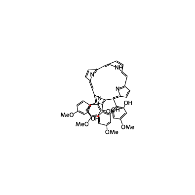 COc1ccc(-c2c(-c3ccc(OC)cc3O)c3c(-c4ccc(OC)cc4O)c4nc(cc5ccc(cc6nc(cc2n3-c2ccc(OC)cc2O)C=C6)[nH]5)C=C4)c(O)c1